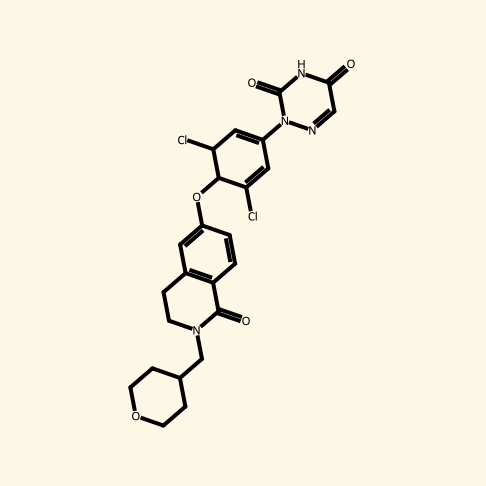 O=C1c2ccc(OC3C(Cl)=CC(n4ncc(=O)[nH]c4=O)=CC3Cl)cc2CCN1CC1CCOCC1